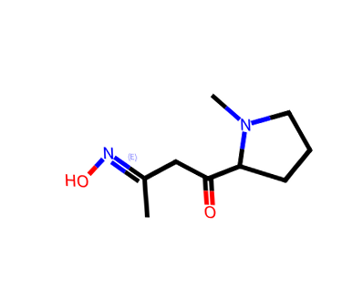 C/C(CC(=O)C1CCCN1C)=N\O